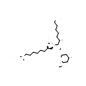 CCCCCCCCCCCCCC[C@@H](O)[C@@H](O)[C@H](CO[C@H]1O[C@H](CO)[C@H](O)[C@H](O)[C@H]1O)n1cc(CCCCCCN(CCCCCCC)CCCCCCC)nn1